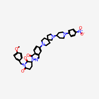 COc1ccc(CN2C(=O)CCC(n3ncc4cc(N5CCC6(CC5)CCN(C5CCN(c7ccc([N+](=O)[O-])cc7)CC5)C6)ccc4c3=O)C2=O)cc1